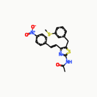 CSc1cccc(Cc2sc(NC(C)=O)nc2C=Cc2ccc([N+](=O)[O-])cc2)c1